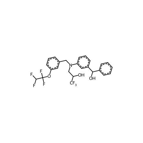 OC(c1ccccc1)c1cccc(N(Cc2cccc(OC(F)(F)C(F)F)c2)CC(O)C(F)(F)F)c1